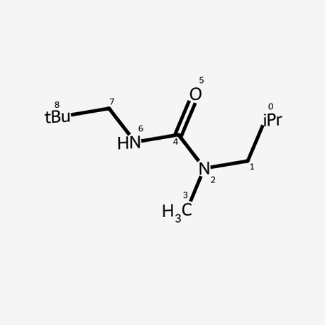 CC(C)CN(C)C(=O)NCC(C)(C)C